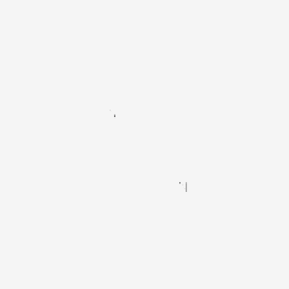 CC(C)N(C)C1CCN(C)C1